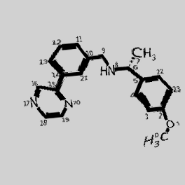 COc1ccc([C@@H](C)NCc2cccc(-c3cnccn3)c2)cc1